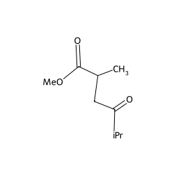 COC(=O)C(C)CC(=O)C(C)C